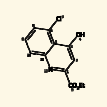 CCOC(=O)c1cc(O)c2c(Cl)cccc2n1